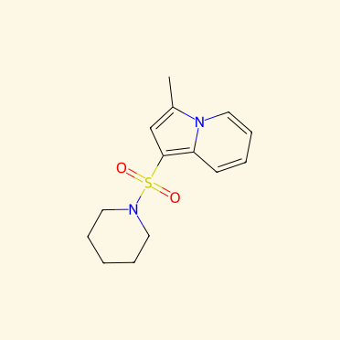 Cc1cc(S(=O)(=O)N2CCCCC2)c2ccccn12